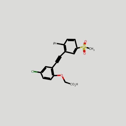 CC(C)c1ccc(S(C)(=O)=O)cc1C#Cc1cc(Cl)ccc1OCC(=O)O